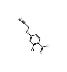 C#CCOc1ccc(C(=O)Cl)c(Cl)c1